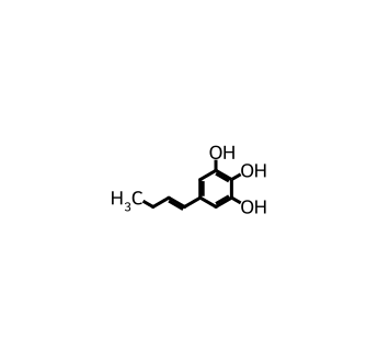 CCC=Cc1cc(O)c(O)c(O)c1